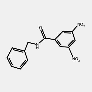 O=C(NCc1ccccc1)c1cc([N+](=O)[O-])cc([N+](=O)[O-])c1